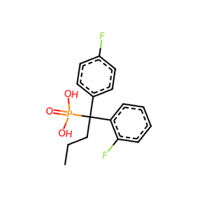 CCCC(c1ccc(F)cc1)(c1ccccc1F)P(=O)(O)O